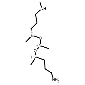 CNCCC[SiH](C)O[SiH](C)O[SiH](C)CCCN